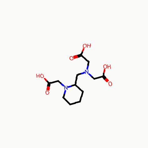 O=C(O)CN(CC(=O)O)CC1CCCCN1CC(=O)O